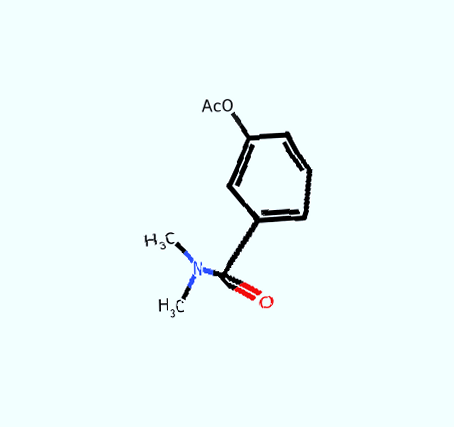 CC(=O)Oc1cccc(C(=O)N(C)C)c1